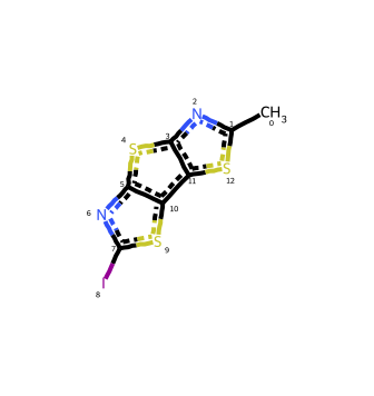 Cc1nc2sc3nc(I)sc3c2s1